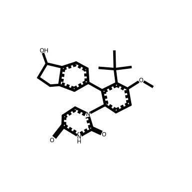 COc1ccc(-n2ccc(=O)[nH]c2=O)c(-c2ccc3c(c2)CCC3O)c1C(C)(C)C